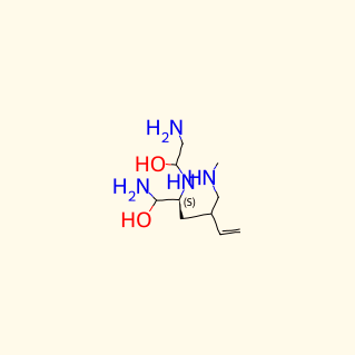 C=CC(CNC)C[C@H](NC(O)CN)C(N)O